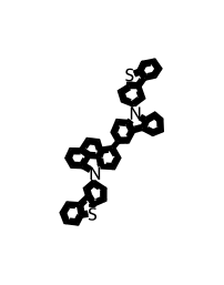 c1ccc2c(c1)sc1ccc(-n3c4ccccc4c4cc(-c5ccc6c7c5ccc5cccc(c57)n6-c5ccc6sc7ccccc7c6c5)ccc43)cc12